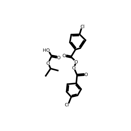 CC(C)OC(=O)O.O=C(OOC(=O)c1ccc(Cl)cc1)c1ccc(Cl)cc1